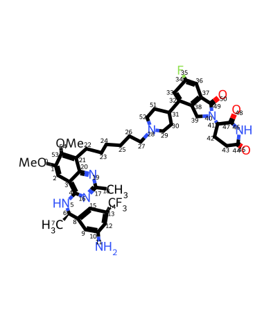 COc1cc2c(N[C@H](C)c3cc(N)cc(C(F)(F)F)c3)nc(C)nc2c(CCCCCCN2CCC(c3cc(F)cc4c3CN(C3CCC(=O)NC3=O)C4=O)CC2)c1OC